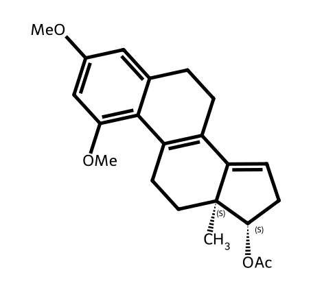 COc1cc2c(c(OC)c1)C1=C(CC2)C2=CC[C@H](OC(C)=O)[C@@]2(C)CC1